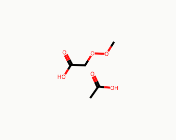 CC(=O)O.COOCC(=O)O